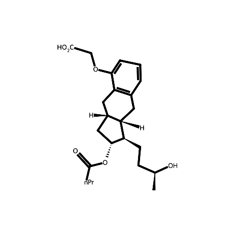 CCCC(=O)O[C@@H]1C[C@@H]2Cc3c(cccc3OCC(=O)O)C[C@@H]2[C@H]1CC[C@H](C)O